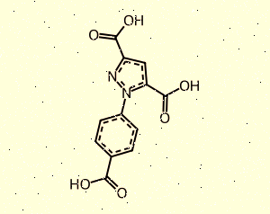 O=C(O)c1ccc(-n2nc(C(=O)O)cc2C(=O)O)cc1